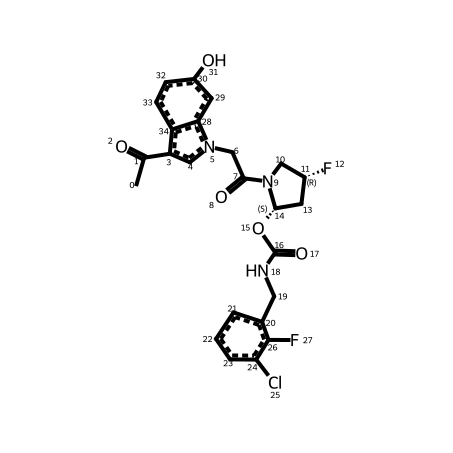 CC(=O)c1cn(CC(=O)N2C[C@H](F)C[C@@H]2OC(=O)NCc2cccc(Cl)c2F)c2cc(O)ccc12